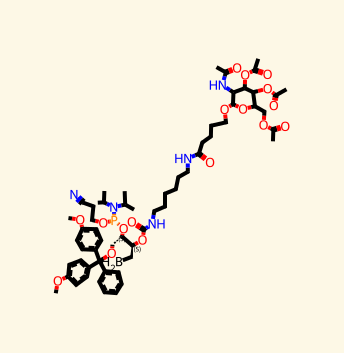 BC[C@H](OC(=O)NCCCCCCNC(=O)CCCCOC1OC(COC(C)=O)C(OC(C)=O)C(OC(C)=O)C1NC(C)=O)[C@H](COC(c1ccccc1)(c1ccc(OC)cc1)c1ccc(OC)cc1)OP(OCCC#N)N(C(C)C)C(C)C